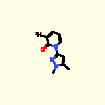 [2H]c1cccn(-c2cc(C)n(C)n2)c1=O